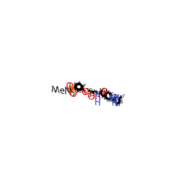 CNS(=O)(=O)c1cccc(OC[C@@H](O)CN[C@H]2COC3(CCN(c4nccc(C)n4)CC3)C2)c1